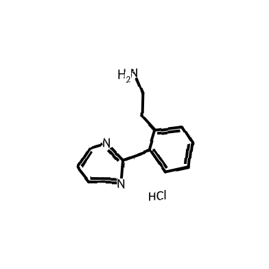 Cl.NCCc1ccccc1-c1ncccn1